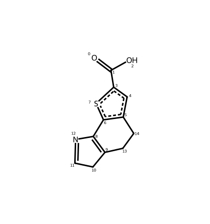 O=C(O)c1cc2c(s1)C1=C(CC=N1)CC2